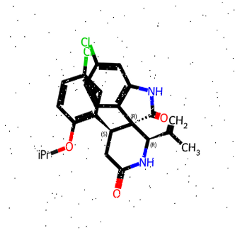 C=C(C)[C@H]1NC(=O)C[C@@H](c2cc(Cl)ccc2OC(C)C)[C@]12C(=O)Nc1cc(Cl)ccc12